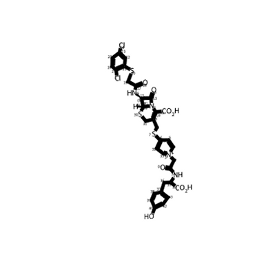 O=C(C[n+]1ccc(SCC2=C(C(=O)O)N3C(=O)[C@H](NC(=O)CSc4cc(Cl)ccc4Cl)[C@H]3SC2)cc1)NC(Cc1ccc(O)cc1)C(=O)O